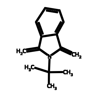 C=c1c2ccccc2c(=C)n1C(C)(C)C